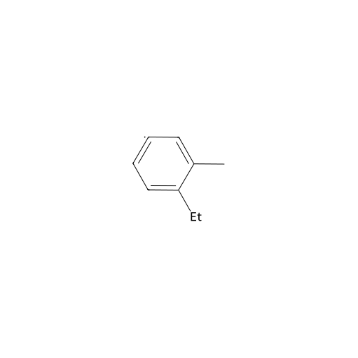 CCc1cc[c]cc1C